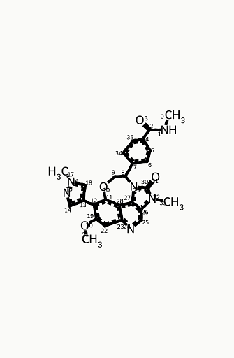 CNC(=O)c1ccc(C2COc3c(-c4cnn(C)c4)c(OC)cc4ncc5c(c34)n2c(=O)n5C)cc1